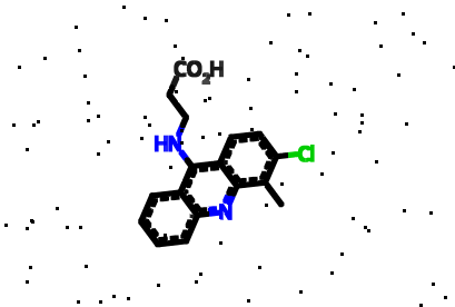 Cc1c(Cl)ccc2c(NCCC(=O)O)c3ccccc3nc12